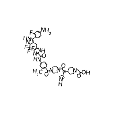 Cc1cc(NC(=O)c2ncc(Cc3c(C(F)(F)F)n[nH]c3-c3ccc(N)cc3F)[nH]2)ccc1C(=O)N1CCN(C(=O)[C@@H](C2CCN(CC(=O)O)CC2)C2CNC2)CC1